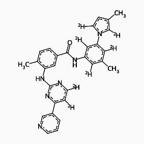 [2H]c1nc(Nc2cc(C(=O)Nc3c([2H])c(C)c([2H])c(-n4c([2H])cc(C)c4[2H])c3[2H])ccc2C)nc(-c2cccnc2)c1[2H]